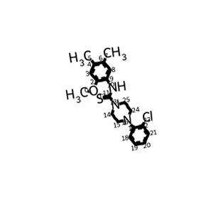 COc1cc(C)c(C)cc1NC(=S)N1CCN(c2ccccc2Cl)CC1